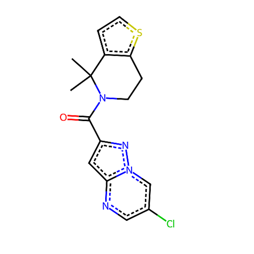 CC1(C)c2ccsc2CCN1C(=O)c1cc2ncc(Cl)cn2n1